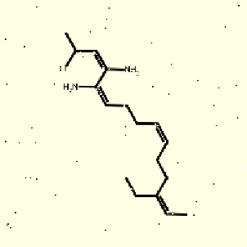 C/C=C(/CC)CC/C=C\CC/C=C(N)\C(N)=C/C(C)Cl